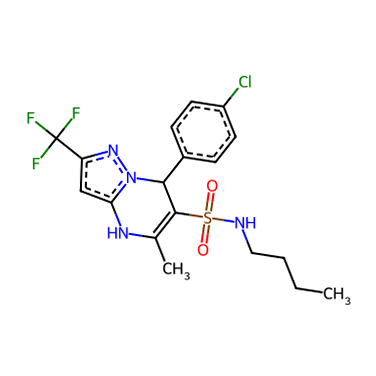 CCCCNS(=O)(=O)C1=C(C)Nc2cc(C(F)(F)F)nn2C1c1ccc(Cl)cc1